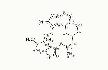 CN(C)CCCn1c(N)nc2ccc3c(c21)CC(CN(C)Cc1cccn1C)CO3